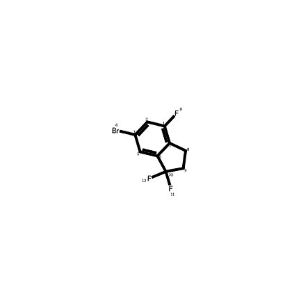 Fc1cc(Br)cc2c1CCC2(F)F